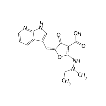 CCN(C)NC1=C(C(=O)O)C(=O)C(=Cc2c[nH]c3ncccc23)O1